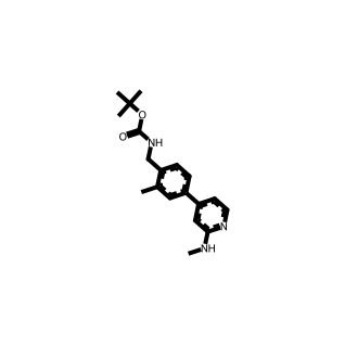 CNc1cc(-c2ccc(CNC(=O)OC(C)(C)C)c(C)c2)ccn1